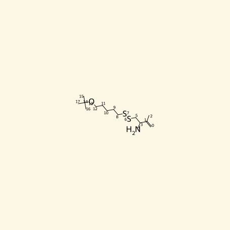 C=C(C)C(N)CSSCCCCCOC(C)(C)C